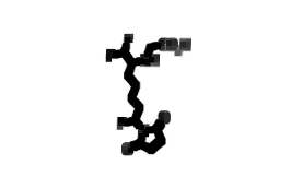 O=C(O)CNC(CCCCC(F)N1C(=O)C=CC1=O)C(F)F